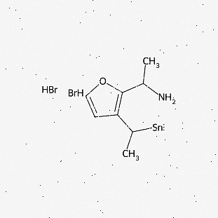 Br.Br.CC(N)c1occc1[CH](C)[Sn]